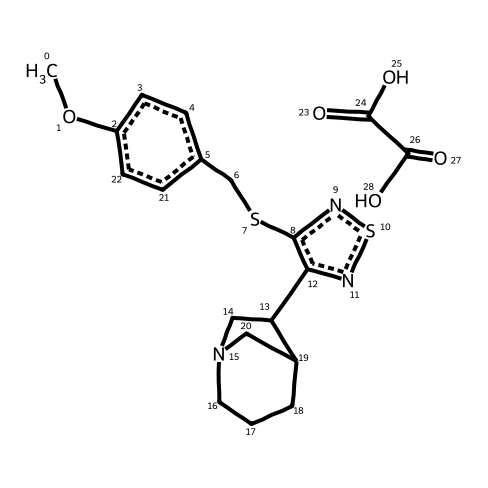 COc1ccc(CSc2nsnc2C2CN3CCCC2C3)cc1.O=C(O)C(=O)O